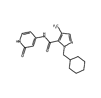 O=C(Nc1cc[nH]c(=O)c1)c1c(C(F)(F)F)cnn1CC1CCCCC1